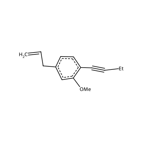 C=CCc1ccc(C#CCC)c(OC)c1